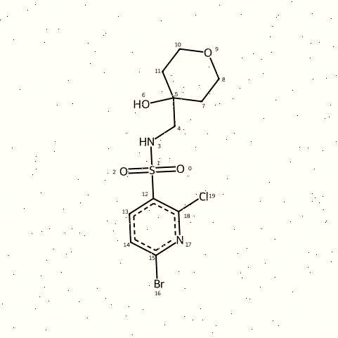 O=S(=O)(NCC1(O)CCOCC1)c1ccc(Br)nc1Cl